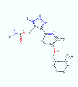 CCCN(C)C(=O)OCc1c(-c2ccc(OCC3CCCCC3C(=O)O)c(C)n2)nnn1C